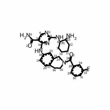 NC(=O)c1cnc(N[C@@H]2CCCC[C@@H]2N)nc1Nc1ccc2c(c1)CN(C(=O)c1cccc(F)c1)CC2